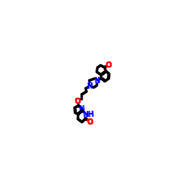 O=C1CCc2ccc(OCCCCN3CCN(c4cccc5c4CCCC5=O)CC3)nc2N1